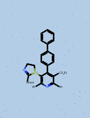 CCCCCC1=NCC[SH]1c1c(C(C)C)nc(C(C)C)c(C(=O)OCC)c1-c1ccc(-c2ccccc2)cc1